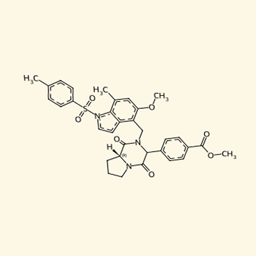 COC(=O)c1ccc(C2C(=O)N3CCC[C@@H]3C(=O)N2Cc2c(OC)cc(C)c3c2ccn3S(=O)(=O)c2ccc(C)cc2)cc1